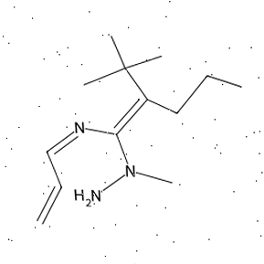 C=C/C=N\C(=C(\CCC)C(C)(C)C)N(C)N